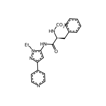 CCn1nc(-c2ccncc2)cc1NC(=O)[C@H](Cc1ccccc1)NC(=O)O